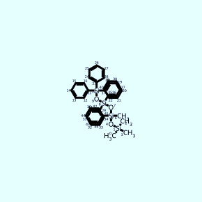 C[Si](C)(C)O[Si](C)(O[Si](O[Si](c1ccccc1)(c1ccccc1)c1ccccc1)(c1ccccc1)c1ccccc1)c1ccccc1